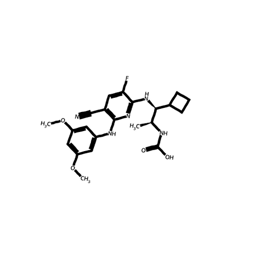 COc1cc(Nc2nc(N[C@@H](C3CCC3)[C@H](C)NC(=O)O)c(F)cc2C#N)cc(OC)c1